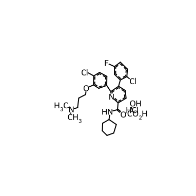 CN(C)CCCOc1cc(-c2nc(C(=O)NC3CCCCC3)ccc2-c2cc(F)ccc2Cl)ccc1Cl.Cl.O=C(O)O